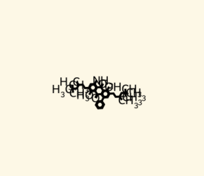 CC(CCc1cc(N)c2c(c1O)C(=O)c1c(-c3ccccc3)cc(CCC(C)CC(C)(C)C)c(O)c1C2=O)CC(C)(C)C